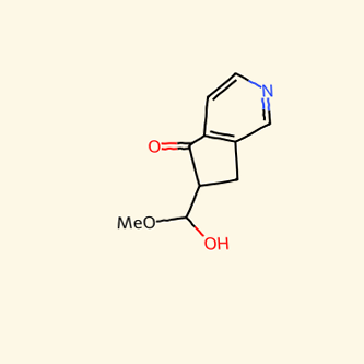 COC(O)C1Cc2cnccc2C1=O